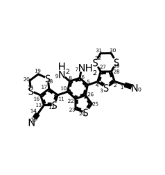 N#Cc1sc(-c2c(N)c(N)c(-c3sc(C#N)c4c3SCCS4)c3cscc23)c2c1SCCS2